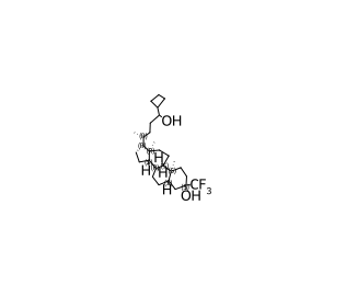 C[C@H](CCC(O)C1CCC1)[C@H]1CC[C@H]2[C@@H]3CC[C@H]4C[C@](O)(C(F)(F)F)CC[C@]4(C)[C@H]3CC[C@]12C